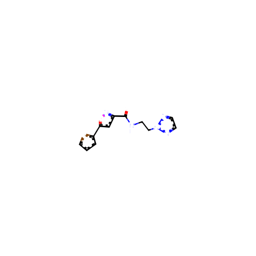 O=C(NCCn1nccn1)c1cc(-c2cccs2)on1